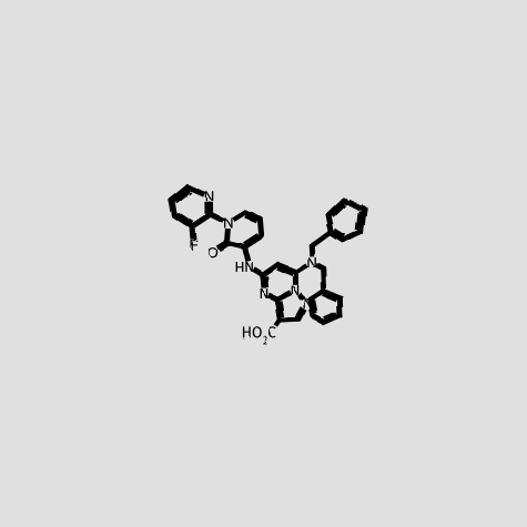 O=C(O)c1cnn2c(N(Cc3ccccc3)Cc3ccccc3)cc(Nc3cccn(-c4ncccc4F)c3=O)nc12